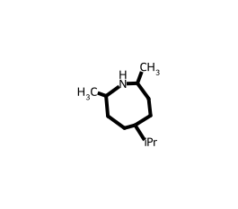 CC1CCC(C(C)C)CCC(C)N1